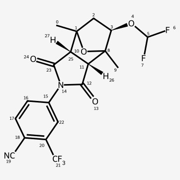 CC12C[C@@H](OC(F)F)C(C)(O1)[C@@H]1C(=O)N(c3ccc(C#N)c(C(F)(F)F)c3)C(=O)[C@@H]12